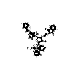 CC(C)(C)[Si](OC[C@H]1O[C@@H](n2cnc3c(NC(=O)c4ccccc4)ncnc32)C(OCCON2C(=O)c3ccccc3C2=O)C1O)(c1ccccc1)c1ccccc1